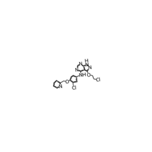 ClCCOc1n[nH]c2ncnc(Nc3ccc(OCc4ccccn4)c(Cl)c3)c12